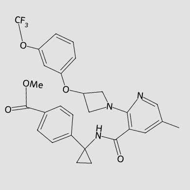 COC(=O)c1ccc(C2(NC(=O)c3cc(C)cnc3N3CC(Oc4cccc(OC(F)(F)F)c4)C3)CC2)cc1